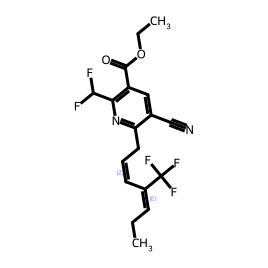 CC/C=C(\C=C/Cc1nc(C(F)F)c(C(=O)OCC)cc1C#N)C(F)(F)F